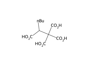 CCCCC(C(=O)O)C(C(=O)O)(C(=O)O)C(=O)O